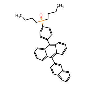 CCCCP(=O)(CCCC)c1ccc(-c2c3ccccc3c(-c3ccc4ccccc4c3)c3ccccc23)cc1